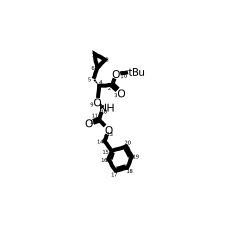 CC(C)(C)OC(=O)[C@@H](CC1CC1)ONC(=O)OCc1ccccc1